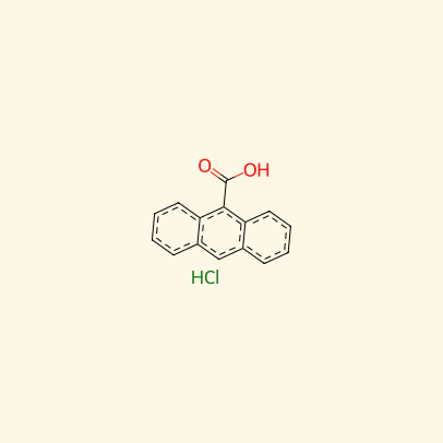 Cl.O=C(O)c1c2ccccc2cc2ccccc12